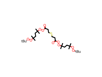 CC(C)(C)OOC(C)(C)CCC(C)(C)OOC(=O)CCSCCC(=O)OOC(C)(C)CCC(C)(C)OOC(C)(C)C